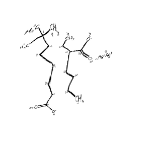 CC(C)(C)CCCCCC(=O)[O-].CCCCC(CC)C(=O)[O-].[Ag+].[Ag+]